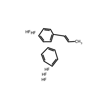 CC=Cc1ccccc1.F.F.F.F.F.c1ccccc1